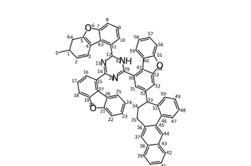 CC1C=Cc2c(oc3cccc(C4N=C(c5cccc6oc7ccccc7c56)N=C(c5cc(C6CCc7cc8ccccc8cc7-c7ccccc76)cc6oc7ccccc7c56)N4)c23)C1